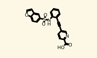 O=C(O)c1ccc(C#Cc2ccccc2NS(=O)(=O)c2ccc3occc3c2)cn1